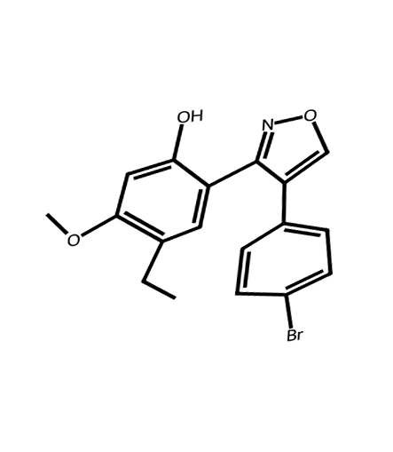 CCc1cc(-c2nocc2-c2ccc(Br)cc2)c(O)cc1OC